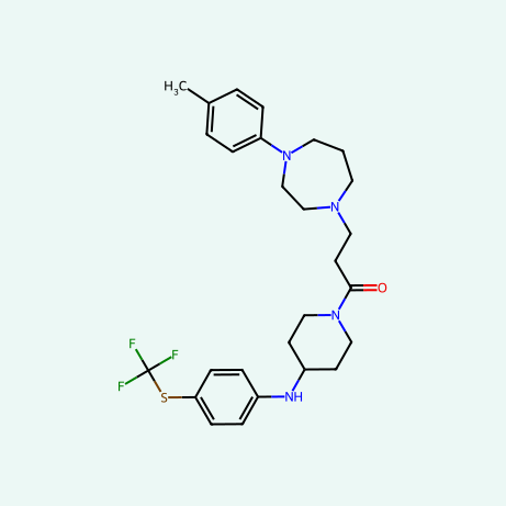 Cc1ccc(N2CCCN(CCC(=O)N3CCC(Nc4ccc(SC(F)(F)F)cc4)CC3)CC2)cc1